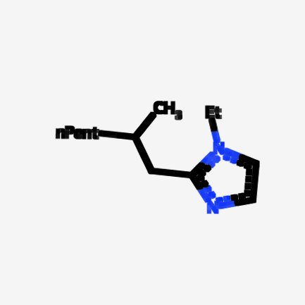 CCCCCC(C)Cc1nccn1CC